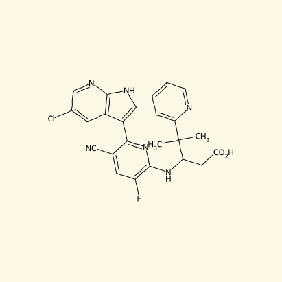 CC(C)(c1ccccn1)C(CC(=O)O)Nc1nc(-c2c[nH]c3ncc(Cl)cc23)c(C#N)cc1F